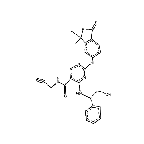 C#CCNC(=O)c1cnc(Nc2ccc3c(c2)C(C)(C)OC3=O)nc1NC(CO)c1ccccc1